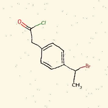 CC(Br)c1ccc(CC(=O)Cl)cc1